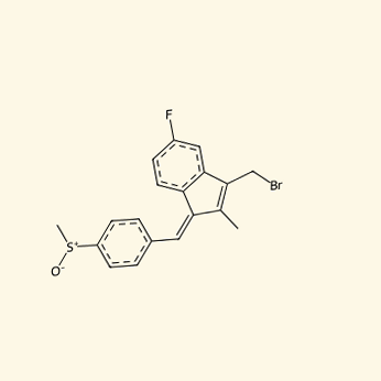 CC1=C(CBr)c2cc(F)ccc2/C1=C\c1ccc([S+](C)[O-])cc1